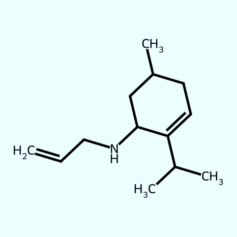 C=CCNC1CC(C)CC=C1C(C)C